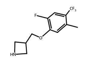 Cc1cc(OCC2CNC2)c(F)cc1C(F)(F)F